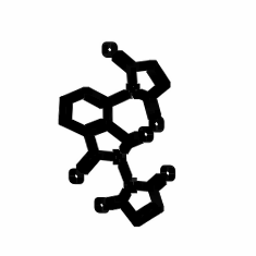 O=C1C=CC(=O)N1c1cccc2c1C(=O)N(N1C(=O)C=CC1=O)C2=O